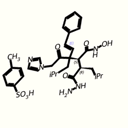 CC(C)C[C@@H](C(=O)NN)[C@H](C(=O)NO)C(/C=C/c1ccccc1)(CC(C)C)C(=O)Cn1ccnc1.Cc1ccc(S(=O)(=O)O)cc1